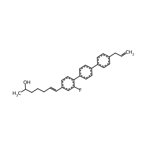 C=CCc1ccc(-c2ccc(-c3ccc(/C=C/CCCC(C)O)cc3F)cc2)cc1